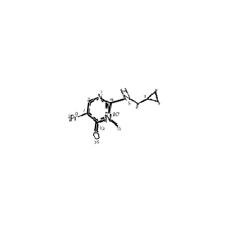 CC(C)c1cnc(NCC2CC2)n(C)c1=O